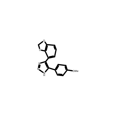 COc1ccc(-c2[nH]nnc2-c2cccc3c2OCO3)cc1